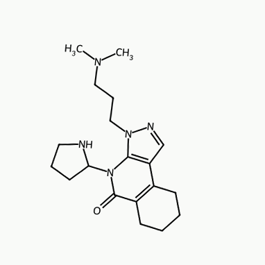 CN(C)CCCn1ncc2c3c(c(=O)n(C4CCCN4)c21)CCCC3